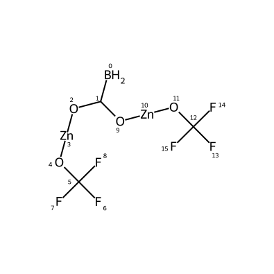 BC([O][Zn][O]C(F)(F)F)[O][Zn][O]C(F)(F)F